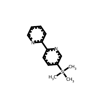 C[Si](C)(C)c1ccc(-c2ccccn2)nc1